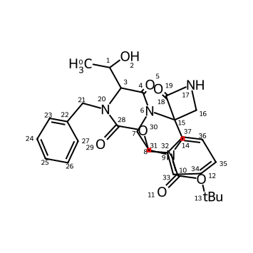 CC(O)C(C(=O)N1CCN(C(=O)OC(C)(C)C)CC12CNC2=O)N(Cc1ccccc1)C(=O)OCc1ccccc1